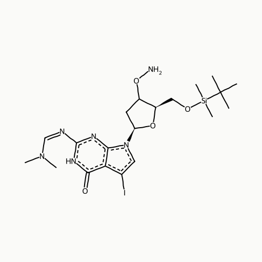 CN(C)/C=N\c1nc2c(c(I)cn2[C@H]2CC(ON)[C@@H](CO[Si](C)(C)C(C)(C)C)O2)c(=O)[nH]1